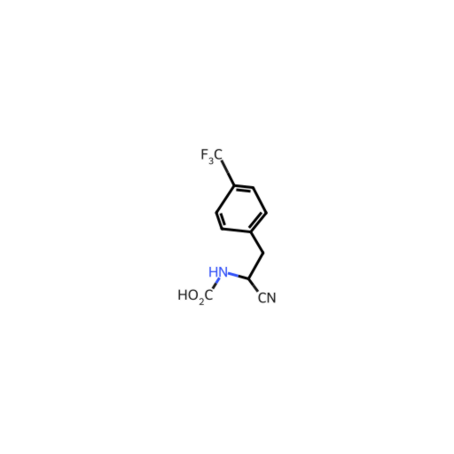 N#CC(Cc1ccc(C(F)(F)F)cc1)NC(=O)O